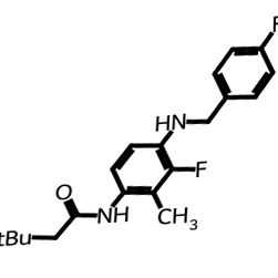 Cc1c(NC(=O)CC(C)(C)C)ccc(NCc2ccc(F)cc2)c1F